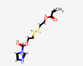 C=CC(=O)OCCSSCCOC(=O)n1ccnc1